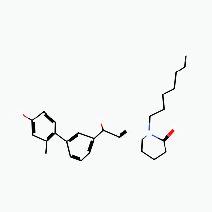 Cc1cc(O)ccc1-c1cccc(C(O)/C=C/[C@H]2CCCC(=O)N2CCCCCCC(=O)O)c1